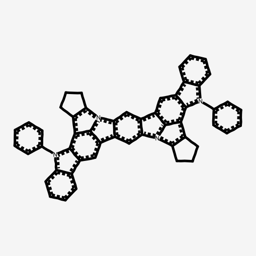 c1ccc(-n2c3ccccc3c3cc4c5cc6c(cc5n5c7c(c(c32)c45)CCC7)c2cc3c4ccccc4n(-c4ccccc4)c3c3c4c(n6c23)CCC4)cc1